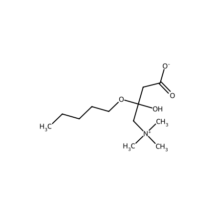 CCCCCOC(O)(CC(=O)[O-])C[N+](C)(C)C